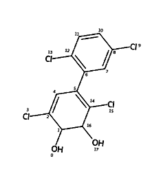 OC1C(Cl)=CC(c2cc(Cl)ccc2Cl)=C(Cl)C1O